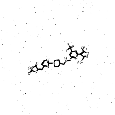 Cc1noc(C)c1-c1cc(C(F)(F)F)cc(CNCC2CCN(c3nccc(/C=C4/SC(=O)NC4=O)n3)CC2)n1